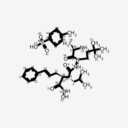 CC(C)C[C@@H](C(=O)NN(CCC(C)(C)C)C(=O)[C@@H](C)N)[C@H](CC=Cc1ccccc1)C(=O)NO.Cc1ccc(S(=O)(=O)O)cc1